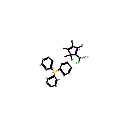 CC1=C(C)C(C)(C)[C]([Ru]([Cl])[Cl])=C1C.c1ccc(P(c2ccccc2)c2ccccc2)cc1